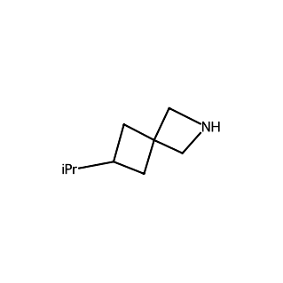 CC(C)C1CC2(CNC2)C1